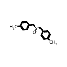 Cc1ccc(C[S+]([O-])Cc2ccc(C)cc2)cc1